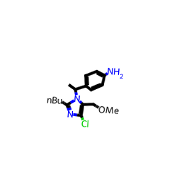 CCCCc1nc(Cl)c(COC)n1C(C)c1ccc(N)cc1